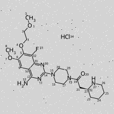 COCCOc1c(OC)cc2c(N)nc(N3CCN(C(=O)C[C@@H]4CCCCN4)CC3)nc2c1F.Cl